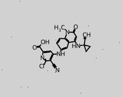 C#CC1(Nc2cc(=O)n(C)c3ccc(Nc4cc(C(=O)O)nc(Cl)c4C#N)cc23)CC1